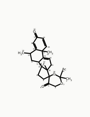 CC(=O)C1(C)OCC(=O)C2(CCC3C4CC(C)C5=CC(=O)C=CC5(C)C4=CCC32C)O1